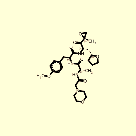 COc1ccc(C[C@H](NC(=O)[C@H](C)NC(=O)CN2CCOCC2)C(=O)N[C@@H](C[C@H]2CCCO2)C(=O)[C@@]2(C)CO2)cc1